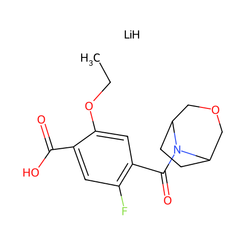 CCOc1cc(C(=O)N2C3CCC2COC3)c(F)cc1C(=O)O.[LiH]